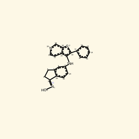 O/N=C1\CCc2cc(Nc3c(-c4ccccc4)sc4cnccc34)ccc21